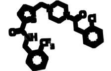 O=C(NCc1ccccc1C(F)(F)F)c1ccc(CN2CCN(C(=O)Cc3ccccc3Cl)CC2)s1